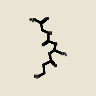 [CH2]C(=O)CNC(=O)OC(C)OC(=O)CCC